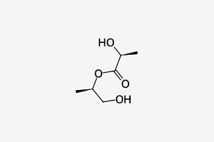 C[C@H](CO)OC(=O)[C@H](C)O